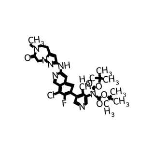 CCN1CCc2cc(Nc3cc4cc(-c5cncc(N(C(=O)OC(C)(C)C)C(=O)OC(C)(C)C)c5C)c(F)c(Cl)c4cn3)nn2CC1=O